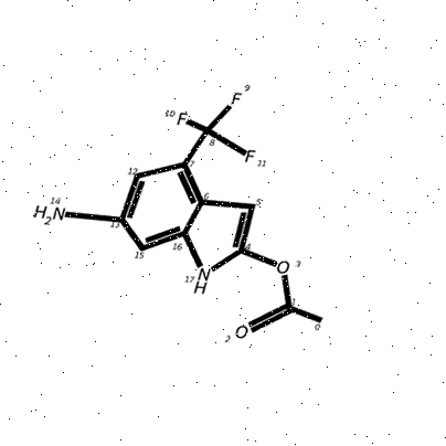 CC(=O)Oc1cc2c(C(F)(F)F)cc(N)cc2[nH]1